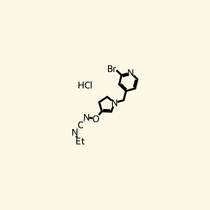 CCN=C=NOC1=CN(Cc2ccnc(Br)c2)CC1.Cl